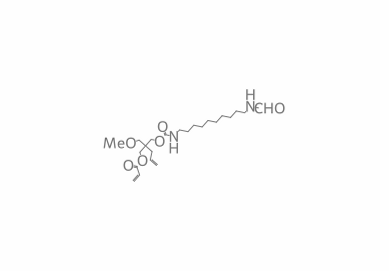 C=CCC(COC)(COC(=O)C=C)COC(=O)NCCCCCCCCCCNC=O